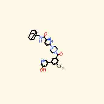 O=C(NCC12CC3CC(CC(C3)C1)C2)c1ccc(N2CCN(C(=O)c3cc(-c4cncc(O)c4)cc(C(F)(F)F)c3)CC2)nn1